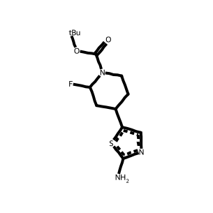 CC(C)(C)OC(=O)N1CCC(c2cnc(N)s2)CC1F